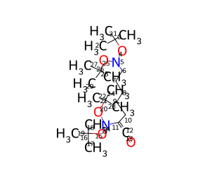 CC(C)(C)ON(CCCCCC(=C=O)N(OC(C)(C)C)OC(C)(C)C)OC(C)(C)C